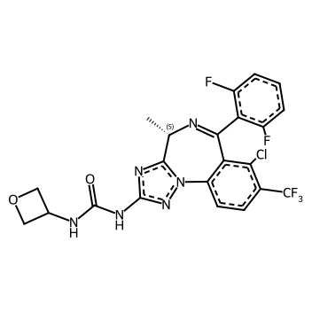 C[C@@H]1N=C(c2c(F)cccc2F)c2c(ccc(C(F)(F)F)c2Cl)-n2nc(NC(=O)NC3COC3)nc21